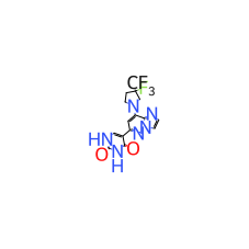 O=c1[nH]cc(-c2cc(N3CCC(F)(C(F)(F)F)C3)c3nccn3n2)c(=O)[nH]1